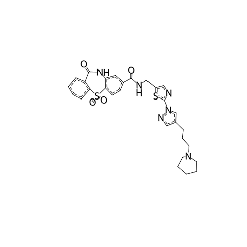 O=C(NCc1cnc(-n2cc(CCCN3CCCCC3)cn2)s1)c1ccc2c(c1)NC(=O)c1ccccc1S2(=O)=O